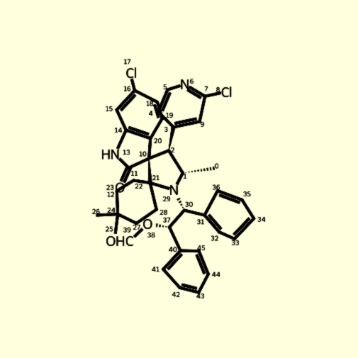 C[C@H]1[C@H](c2ccnc(Cl)c2)[C@@]2(C(=O)Nc3cc(Cl)ccc32)C2(CCC(C)(C)CC2)N1[C@H](c1ccccc1)[C@@H](OC=O)c1ccccc1